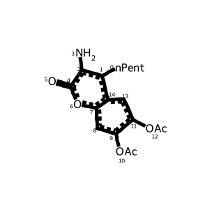 CCCCCc1c(N)c(=O)oc2cc(OC(C)=O)c(OC(C)=O)cc12